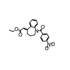 CCOC(=O)C=C1CCCN(C(=O)c2ccc([N+](=O)[O-])cc2)c2ccccc21